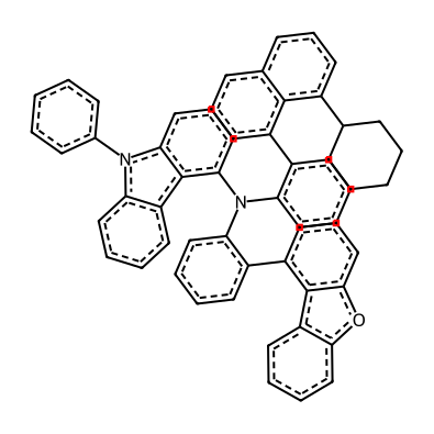 c1ccc(-n2c3ccccc3c3c(N(c4ccccc4-c4cccc5cccc(C6CCCCC6)c45)c4ccccc4-c4cccc5oc6ccccc6c45)cccc32)cc1